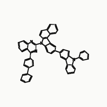 c1ccc(-c2ccc(-c3nc(-n4c5ccc(-c6ccc7c(c6)c6ccccc6n7-c6ccccc6)cc5c5c6ccccc6ccc54)nc4ccccc34)cc2)cc1